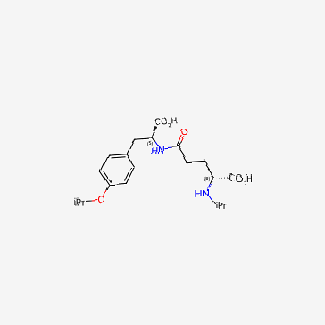 CC(C)N[C@H](CCC(=O)N[C@@H](Cc1ccc(OC(C)C)cc1)C(=O)O)C(=O)O